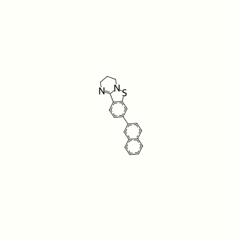 c1ccc2cc(-c3ccc4c(c3)SN3CCCN=C43)ccc2c1